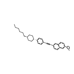 CCCCCC[C@H]1CC[C@H](c2ccc(C#Cc3ccc4cc(OC)ccc4c3)cc2)CC1